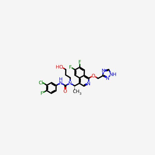 C[C@@H](c1cnc(OCc2nc[nH]n2)c2cc(F)c(F)cc12)N(CCCO)C(=O)Nc1ccc(F)c(Cl)c1